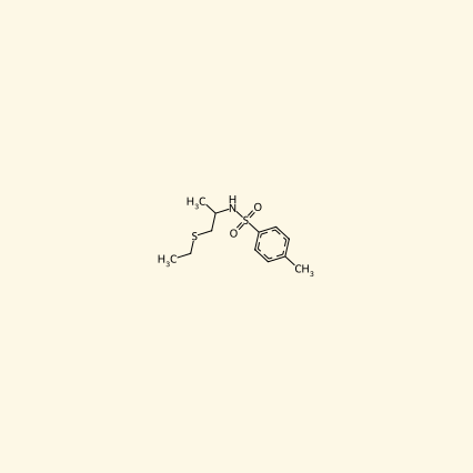 CCSCC(C)NS(=O)(=O)c1ccc(C)cc1